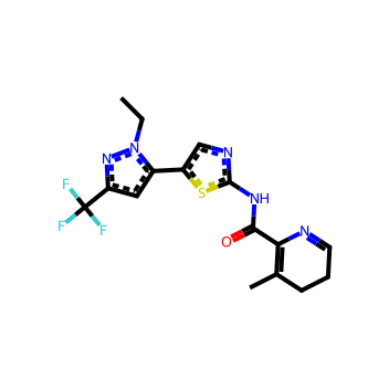 CCn1nc(C(F)(F)F)cc1-c1cnc(NC(=O)C2=C(C)CCC=N2)s1